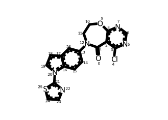 O=C1c2c(Cl)ncnc2OCCN1c1ccc2c(ccn2-c2nccs2)c1